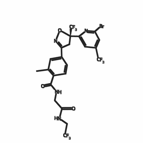 Cc1cc(C2=NO[C@@](c3cc(C(F)(F)F)cc(Br)n3)(C(F)(F)F)C2)ccc1C(=O)NCC(=O)NCC(F)(F)F